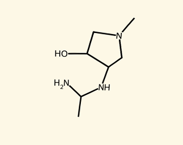 CC(N)NC1CN(C)CC1O